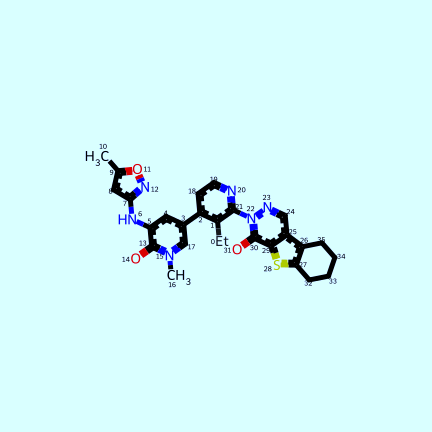 CCc1c(-c2cc(Nc3cc(C)on3)c(=O)n(C)c2)ccnc1-n1ncc2c3c(sc2c1=O)CCCC3